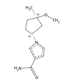 CO[C@]1(C)CC[C@@H](n2ccc(C(N)=O)c2)C1